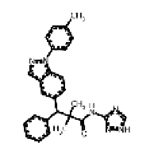 Cc1ccc(-n2ncc3cc(C(c4ccccc4)C(C)(C)C(=O)Nc4nc[nH]n4)ccc32)cc1